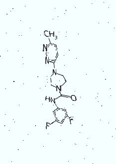 Cc1ccc(N2CCN(C(=O)Nc3cc(F)cc(F)c3)CC2)nn1